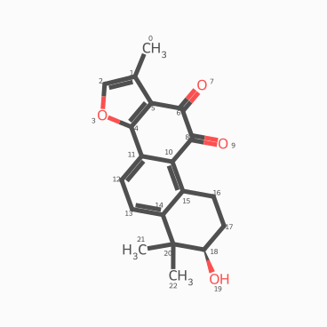 Cc1coc2c1C(=O)C(=O)c1c-2ccc2c1CC[C@@H](O)C2(C)C